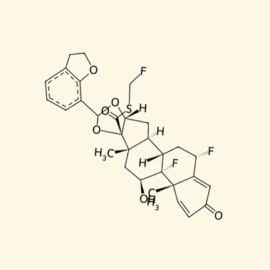 C[C@]12C=CC(=O)C=C1[C@@H](F)C[C@H]1[C@@H]3C[C@H]4OC(c5cccc6c5OCC6)O[C@@]4(C(=O)SCF)[C@@]3(C)C[C@H](O)[C@@]12F